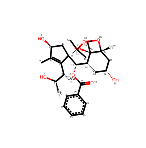 CC[C@@H](O)[C@@H](OC(C)=O)C1=C(C)[C@@H](O)C[C@]1([C@@H](OC(=O)c1ccccc1)[C@H]1C[C@@H](O)C[C@H]2OC[C@@]12O)C(C)(C)O